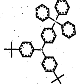 CC(C)(C)c1ccc(N(c2ccc(C(C)(C)C)cc2)c2ccc([Si](c3ccccc3)(c3ccccc3)c3ccccc3)cc2)cc1